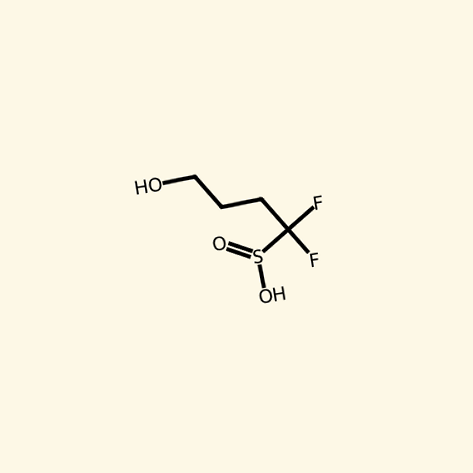 O=S(O)C(F)(F)CCCO